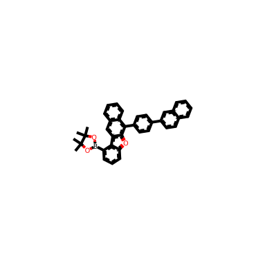 CC1(C)OB(c2cccc3oc4c(-c5ccc(-c6ccc7ccccc7c6)cc5)c5ccccc5cc4c23)OC1(C)C